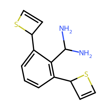 NC(N)c1c(C2C=CS2)cccc1C1C=CS1